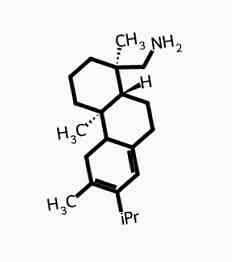 CC1=C(C(C)C)C=C2CC[C@H]3[C@](C)(CN)CCC[C@]3(C)C2C1